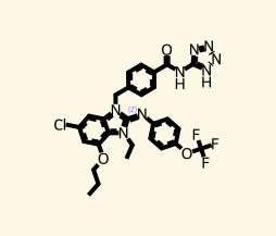 CCCOc1cc(Cl)cc2c1n(CC)/c(=N\c1ccc(OC(F)(F)F)cc1)n2Cc1ccc(C(=O)Nc2nnn[nH]2)cc1